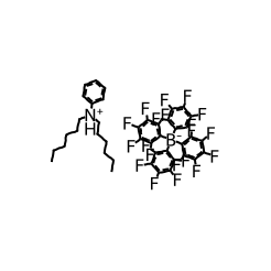 CCCCCC[NH+](CCCCCC)c1ccccc1.Fc1c(F)c(F)c([B-](c2c(F)c(F)c(F)c(F)c2F)(c2c(F)c(F)c(F)c(F)c2F)c2c(F)c(F)c(F)c(F)c2F)c(F)c1F